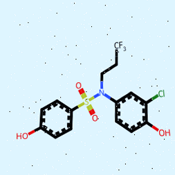 O=S(=O)(c1ccc(O)cc1)N(CCC(F)(F)F)c1ccc(O)c(Cl)c1